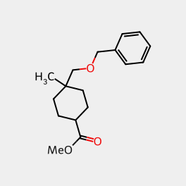 COC(=O)C1CCC(C)(COCc2ccccc2)CC1